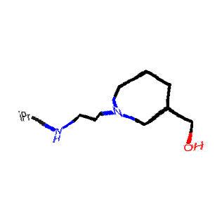 CC(C)NCCN1CCCC(CO)C1